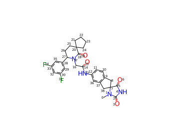 CN1C(=O)NC(=O)C12Cc1ccc(NC(=O)CN3C(=O)C4(CCCC4)CCC3c3cc(F)cc(F)c3)cc1C2